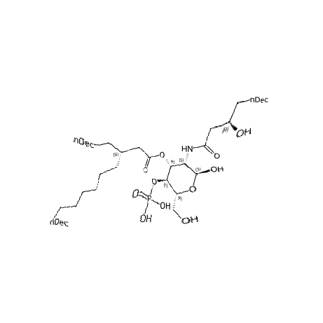 CCCCCCCCCCCCCCCC[C@H](CCCCCCCCCCC)CC(=O)O[C@@H]1[C@H](NC(=O)C[C@H](O)CCCCCCCCCCC)[C@@H](O)O[C@H](CO)[C@H]1OP(=O)(O)O